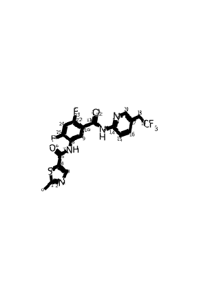 Cc1ncc(C(=O)Nc2cc(C(=O)Nc3ccc(CC(F)(F)F)cn3)c(F)cc2F)s1